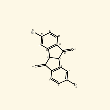 O=C1c2ccc(Br)cc2C2C(=O)c3ccc(Br)cc3C12